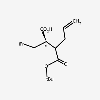 C=CCC(C(=O)OC(C)(C)C)[C@@H](CC(C)C)C(=O)O